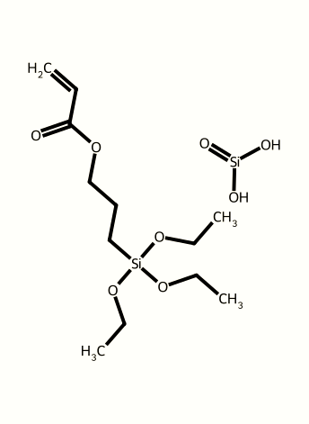 C=CC(=O)OCCC[Si](OCC)(OCC)OCC.O=[Si](O)O